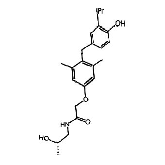 Cc1cc(OCC(=O)NC[C@H](C)O)cc(C)c1Cc1ccc(O)c(C(C)C)c1